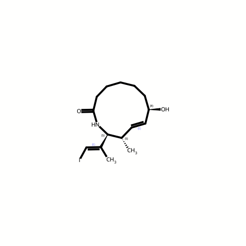 C/C(=C\I)[C@H]1NC(=O)CCCCC[C@@H](O)/C=C/[C@@H]1C